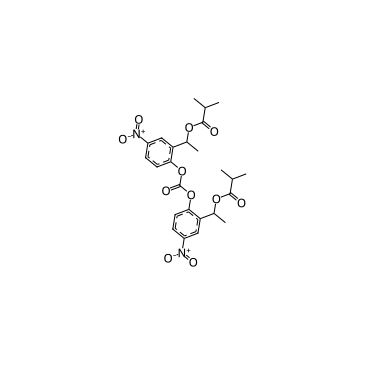 CC(C)C(=O)OC(C)c1cc([N+](=O)[O-])ccc1OC(=O)Oc1ccc([N+](=O)[O-])cc1C(C)OC(=O)C(C)C